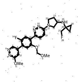 COCOc1cc(-c2cnnc(OC)c2)c(F)cc1-c1ccc(N2CCC(NC3(CF)CC3)C2)nn1